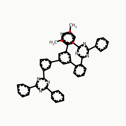 Cc1ccc(-c2cc(-c3cccc(-c4nc(-c5ccccc5)nc(-c5ccccc5)n4)c3)cc(-c3ccccc3-c3nc(-c4ccccc4)nc(-c4ccccc4)n3)c2)c(C)n1